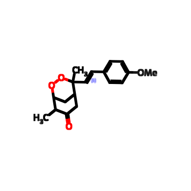 COc1ccc(/C=C/C2(C)OOC3CC2CC(=O)C3C)cc1